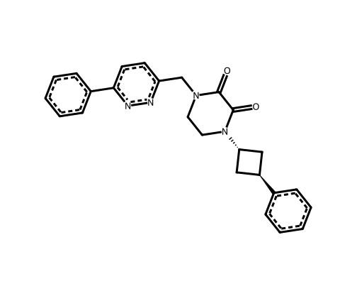 O=C1C(=O)N([C@H]2C[C@H](c3ccccc3)C2)CCN1Cc1ccc(-c2ccccc2)nn1